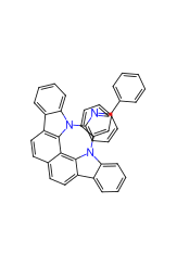 c1ccc(-c2cccc(-n3c4ccccc4c4ccc5ccc6c7ccccc7n(-c7ccccc7)c6c5c43)n2)cc1